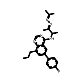 CCCc1cc(-c2ccc(F)cc2)cc2c(NC(C)/C(C)=N/N=C(C)C)ncnc12